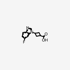 O=C(O)C1CC(n2cnc3ccc(F)cc32)C1